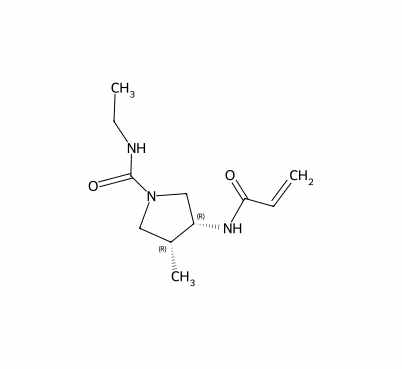 C=CC(=O)N[C@H]1CN(C(=O)NCC)C[C@H]1C